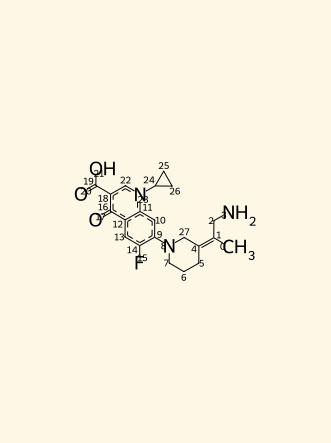 C/C(CN)=C1\CCCN(c2cc3c(cc2F)c(=O)c(C(=O)O)cn3C2CC2)C1